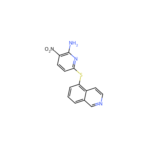 Nc1nc(Sc2cccc3cnccc23)ccc1[N+](=O)[O-]